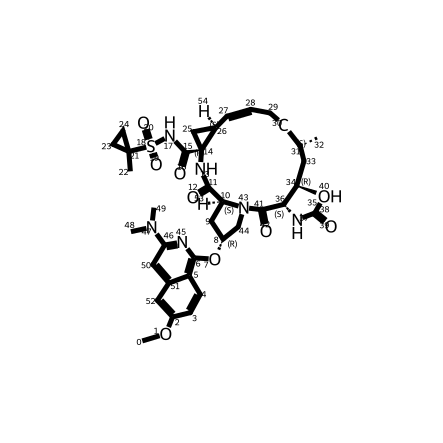 COc1ccc2c(O[C@@H]3C[C@H]4C(=O)N[C@]5(C(=O)NS(=O)(=O)C6(C)CC6)C[C@H]5C=CCC[C@H](C)C[C@@H](C)[C@H](NC(=O)O)C(=O)N4C3)nc(N(C)C)cc2c1